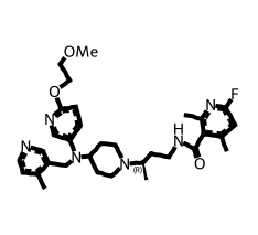 COCCOc1ccc(N(Cc2cnccc2C)C2CCN([C@H](C)CCNC(=O)c3c(C)cc(F)nc3C)CC2)cn1